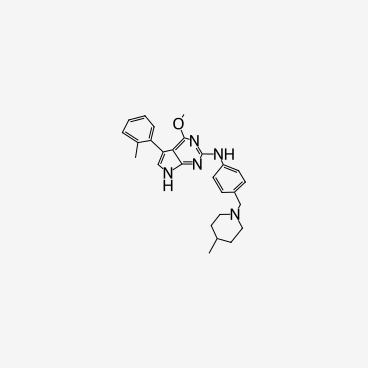 COc1nc(Nc2ccc(CN3CCC(C)CC3)cc2)nc2[nH]cc(-c3ccccc3C)c12